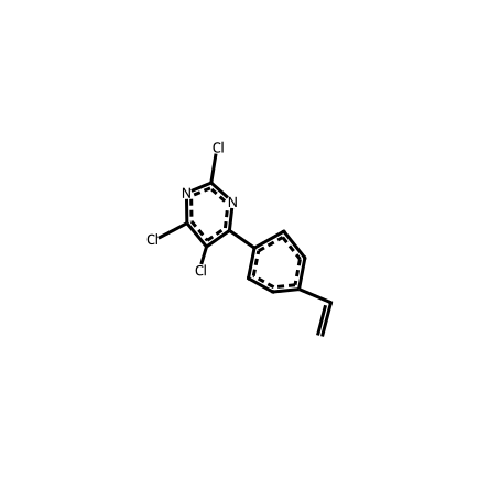 C=Cc1ccc(-c2nc(Cl)nc(Cl)c2Cl)cc1